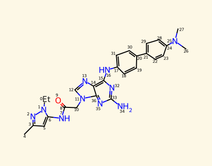 CCn1nc(C)cc1NC(=O)Cn1cnc2c(Nc3ccc(-c4ccc(N(C)C)cc4)cc3)nc(N)nc21